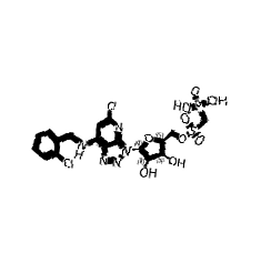 O=P(O)(O)CS(=O)(=O)OC[C@@H]1O[C@@H](n2nnc3c(NCc4ccccc4Cl)cc(Cl)nc32)[C@H](O)[C@@H]1O